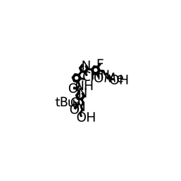 COc1cc(-c2nccc(-c3cccc(NC(=O)c4ccc(CN(CCO)C(=O)OC(C)(C)C)cn4)c3C)c2Cl)cc(F)c1CNCCO